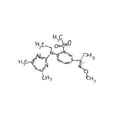 CCN(c1nc(C)cc(C)n1)c1ccc(/C(C)=N/OC)cc1S(C)(=O)=O